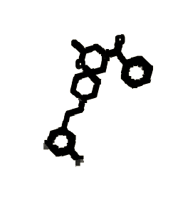 CC1CN(C(=O)c2ccccc2)CC2(CCN(CCc3cncc(F)c3)CC2)O1